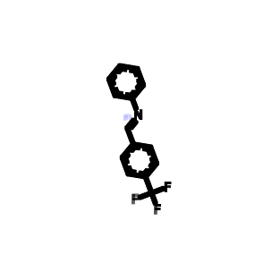 FC(F)(F)c1ccc(/C=N/c2ccccc2)cc1